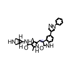 Cc1[nH]c(/C=C2\C(=O)Nc3ccc(-c4cnn(-c5ccccc5)c4)cc32)c(C)c1C(=O)N[C@H]1[C@@H]2CNC[C@@H]21